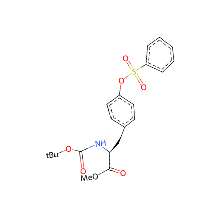 COC(=O)[C@H](Cc1ccc(OS(=O)(=O)c2ccccc2)cc1)NC(=O)OC(C)(C)C